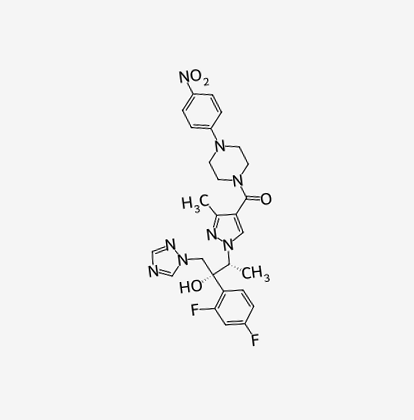 Cc1nn([C@H](C)[C@](O)(Cn2cncn2)c2ccc(F)cc2F)cc1C(=O)N1CCN(c2ccc([N+](=O)[O-])cc2)CC1